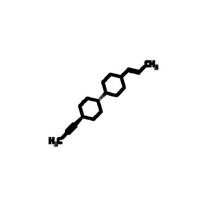 CC#C[C@H]1CC[C@H](C2CCC(/C=C/C)CC2)CC1